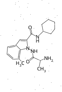 Cc1cccc2cc(C(=O)NC3CCCCC3)n(NC(=O)C(C)N)c12